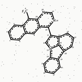 FC(F)(F)c1c2ccccc2cc2c(-c3cn4c5ccccc5c5cccc3c54)ncnc12